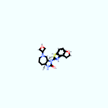 O=C1N[C@H]2CCCN(C3COC3)C[C@H]2N1c1nc2c3c(ccc2s1)OCC3